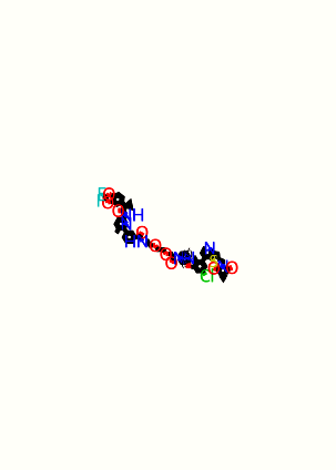 Cc1ccc(NC(=O)C2(c3ccc4c(c3)OC(F)(F)O4)CC2)nc1-c1cccc(C(=O)NCCOCCOCC(=O)N2C[C@H](C)N(Cc3c(C)cc(Cl)cc3-c3ccnc4cc(CN5C(=O)C6CC6C5=O)sc34)[C@@H](C)C2)c1